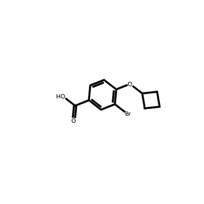 O=C(O)c1ccc(OC2CCC2)c(Br)c1